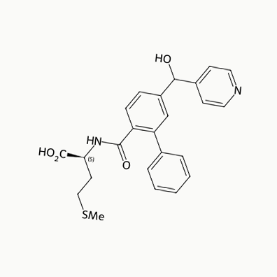 CSCC[C@H](NC(=O)c1ccc(C(O)c2ccncc2)cc1-c1ccccc1)C(=O)O